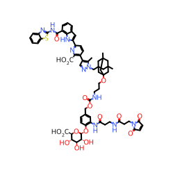 Cc1c(-c2ccc(-c3cc4cccc(C(=O)Nc5nc6ccccc6s5)c4[nH]3)nc2C(=O)O)cnn1CC12CC3(C)CC(C)(C1)CC(OCCCNC(=O)OCc1ccc(O[C@@H]4O[C@H](C(=O)O)[C@@H](O)[C@H](O)[C@H]4O)c(NC(=O)CCNC(=O)CCN4C(=O)C=CC4=O)c1)(C3)C2